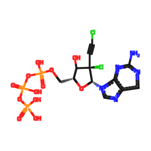 Nc1ncc2ncn([C@@H]3O[C@H](COP(=O)(O)OP(=O)(O)OP(=O)(O)O)C(O)[C@]3(Cl)C#CCl)c2n1